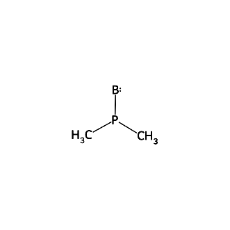 [B]P(C)C